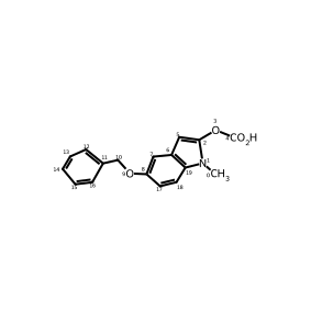 Cn1c(OC(=O)O)cc2cc(OCc3ccccc3)ccc21